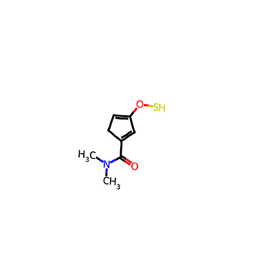 CN(C)C(=O)C1=CC(OS)=CC1